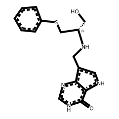 O=c1[nH]cnc2c(CN[C@@H](CO)CSc3ccccc3)c[nH]c12